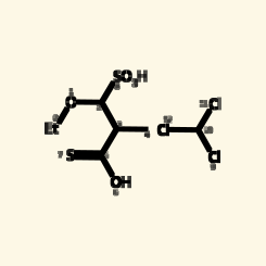 CCOC(C(C)C(O)=S)S(=O)(=O)O.ClC(Cl)Cl